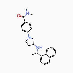 C[C@@H](NC1CCN(c2ccc(C(=O)N(C)C)cc2)C1)c1cccc2ccccc12